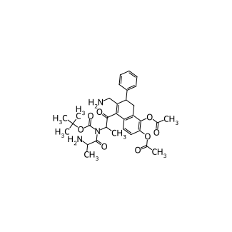 CC(=O)Oc1ccc2c(c1OC(C)=O)CC(c1ccccc1)C(CN)=C2C(=O)C(C)N(C(=O)OC(C)(C)C)C(=O)C(C)N